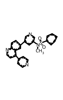 CN(c1cncc(-c2ccc3nccc(-c4ccncc4)c3c2)c1)S(=O)(=O)c1ccccc1